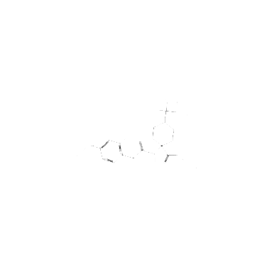 COC(=O)C1(NC(=O)Cc2ccc(OC)cc2Cl)CCC(C(C)(C)C)CC1